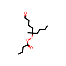 CCCCC(C)(CCCC=O)OOC(=O)CCC